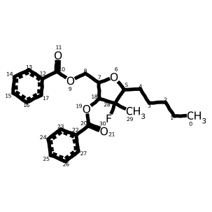 CCCCCC1OC(COC(=O)c2ccccc2)C(OC(=O)c2ccccc2)C1(C)F